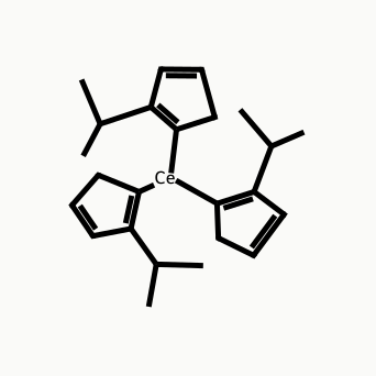 CC(C)C1=[C]([Ce]([C]2=C(C(C)C)C=CC2)[C]2=C(C(C)C)C=CC2)CC=C1